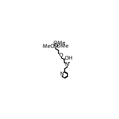 CO[Si](CCCOCC(O)CN(C)CCc1ccccn1)(OC)OC